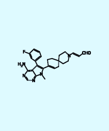 Cn1c(C2=CCC3(CC2)CCN(C=CC=O)CC3)c(-c2cccc(F)c2)c2c(N)ncnc21